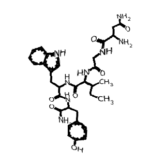 CCC(C)C(NC(=O)CNC(=O)C(N)CC(N)=O)C(=O)NC(Cc1c[nH]c2ccccc12)C(=O)NC(Cc1ccc(O)cc1)C(N)=O